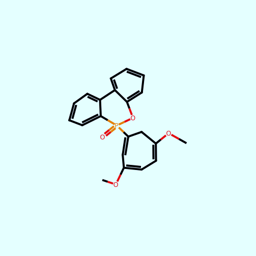 COC1=CC=C(OC)CC(P2(=O)Oc3ccccc3-c3ccccc32)=C1